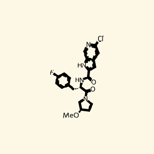 CO[C@@H]1CCN(C(=O)[C@H](Cc2ccc(F)cc2)NC(=O)c2cc3cc(Cl)ncc3[nH]2)C1